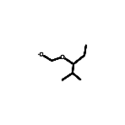 CCC(OC[O])C(C)C